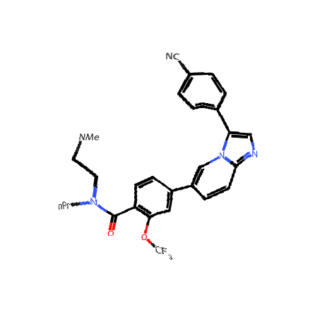 CCCN(CCNC)C(=O)c1ccc(-c2ccc3ncc(-c4ccc(C#N)cc4)n3c2)cc1OC(F)(F)F